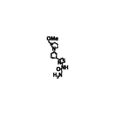 COC[C@H]1CCCN(c2cccc(-c3csc(NC(=O)CN)n3)c2)C1